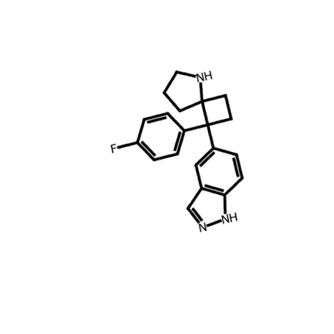 Fc1ccc(C2(c3ccc4[nH]ncc4c3)CCC23CCCN3)cc1